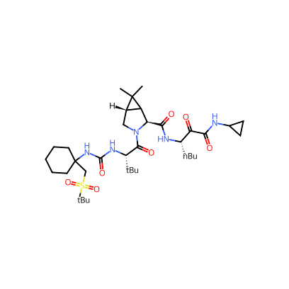 CCCC[C@H](NC(=O)[C@@H]1C2[C@H](CN1C(=O)[C@@H](NC(=O)NC1(CS(=O)(=O)C(C)(C)C)CCCCC1)C(C)(C)C)C2(C)C)C(=O)C(=O)NC1CC1